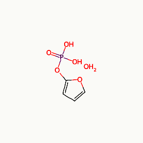 O.O=P(O)(O)Oc1ccco1